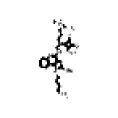 CCCCc1nc2c(NCN(CCCN(C)C)c3c(OC)c(=O)c3=O)nc3ccccc3c2n1OCCCCN